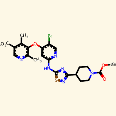 Cc1ncc(C(=O)O)c(C)c1Oc1cc(Nc2nc(C3CCN(C(=O)OC(C)(C)C)CC3)ns2)ncc1Br